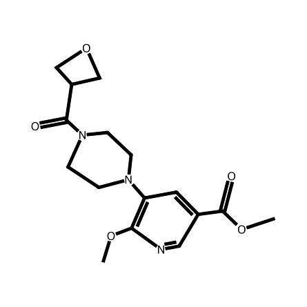 COC(=O)c1cnc(OC)c(N2CCN(C(=O)C3COC3)CC2)c1